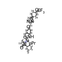 CCCc1ccc(C)cc1N1C(=O)CS/C1=N\C(=O)Nc1ccc(OCc2ncn(-c3ccc(OC(F)(F)F)cc3)n2)cc1C